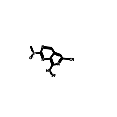 CC(C)Nc1nc(C#N)cc2cnc([S+](C)[O-])nc12